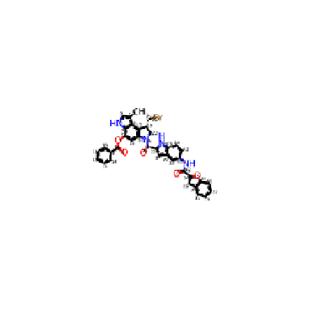 Cc1c[nH]c2c(OC(=O)c3ccccc3)cc3c(c12)[C@H](CBr)CN3C(=O)c1cc2cc(NC(=O)c3cc4ccccc4o3)ccc2[nH]1